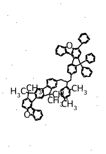 Cc1ccc(C(Cc2ccc3c(c2)C(C)(C)c2cc4c(cc2-3)C(C)(C)c2ccc3oc5ccccc5c3c2-4)Cc2ccc3c(c2)C(c2ccccc2)(c2ccccc2)c2cc(-c4ccccc4)c4oc5ccccc5c4c2-3)c(C)c1